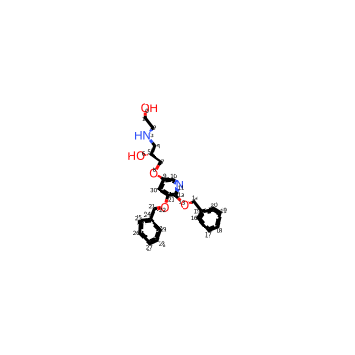 OCCNC[C@@H](O)COc1cnc(OCc2ccccc2)c(OCc2ccccc2)c1